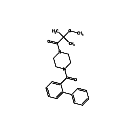 COC(C)(C)C(=O)N1CCN(C(=O)c2ccccc2-c2ccccc2)CC1